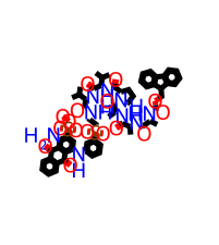 COOS(=O)(=O)c1cc(Nc2cccc(S(=O)(=O)CCNC(=O)C(NC(=O)C(NC(=O)C3CCCN3C(=O)C(C)NC(=O)C(C)NC(=O)C(C)NC(=O)OCC3c4ccccc4-c4ccccc43)C(C)C)C(C)C)c2)c2c(c1N)C(=O)c1ccccc1C2=O